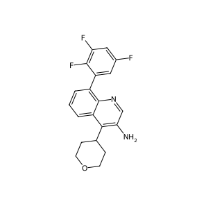 Nc1cnc2c(-c3cc(F)cc(F)c3F)cccc2c1C1CCOCC1